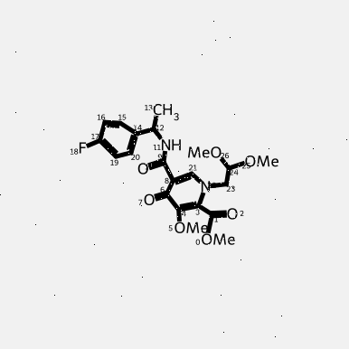 COC(=O)c1c(OC)c(=O)c(C(=O)NC(C)c2ccc(F)cc2)cn1CC(OC)OC